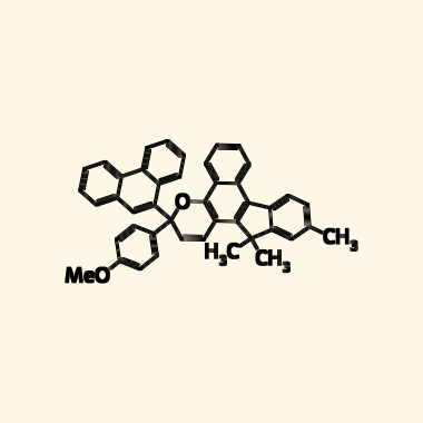 COc1ccc(C2(c3cc4ccccc4c4ccccc34)C=Cc3c4c(c5ccccc5c3O2)-c2ccc(C)cc2C4(C)C)cc1